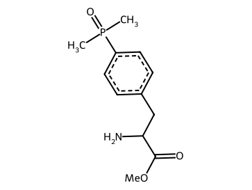 COC(=O)C(N)Cc1ccc(P(C)(C)=O)cc1